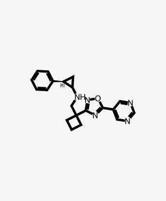 c1ccc([C@H]2CC2NCC2(c3noc(-c4cncnc4)n3)CCC2)cc1